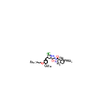 COCCCOc1cc(C[C@@H](C[C@H](N)[C@@H](O)CNC(=O)C(C)(C)[C@@H]2CCC[C@H](NC(C)=O)C2)C(C)C)ccc1OC.Cl